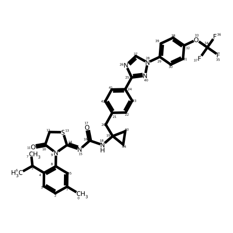 Cc1ccc(C(C)C)c(N2C(=O)CSC2=NC(=O)NC2(Cc3ccc(-c4ncn(-c5ccc(OC(F)(F)F)cc5)n4)cc3)CC2)c1